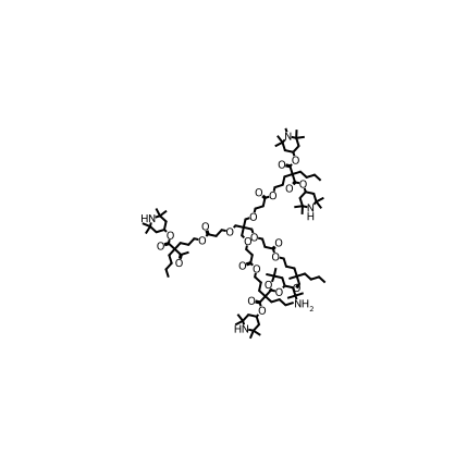 CCCCC(C)(C=O)CCCOC(=O)CCOCC(COCCC(=O)OCCCC(CCCC)(C(C)=O)C(=O)OC1CC(C)(C)NC(C)(C)C1)(COCCC(=O)OCCCC(CCCC)(C(=O)OC(CC(C)(C)C)CC(C)(C)N)C(=O)OC1CC(C)(C)NC(C)(C)C1)COCCC(=O)OCCCC(CCCC)(C(=O)OC1CC(C)(C)NC(C)(C)C1)C(=O)OC1CC(C)(C)N(C)C(C)(C)C1